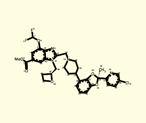 COC(=O)c1cc(OC(F)F)c2nc(CN3CCC(c4cccc5c4O[C@@](C)(c4ccc(Cl)cn4)O5)CC3)n(C[C@@H]3CCO3)c2c1